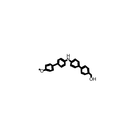 COc1ccc(-c2ccc(Nc3ccc(-c4ccc(CO)cc4)cc3)cc2)cc1